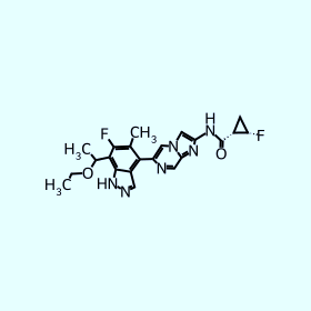 CCOC(C)c1c(F)c(C)c(-c2cn3cc(NC(=O)[C@@H]4C[C@@H]4F)nc3cn2)c2cn[nH]c12